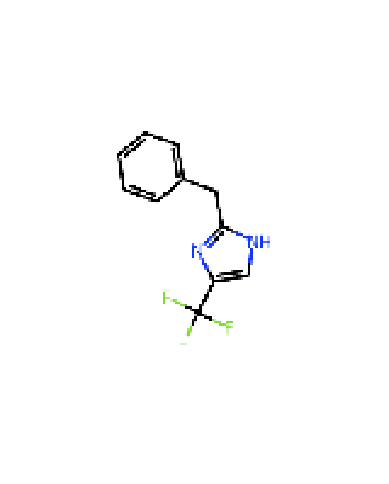 FC(F)(F)c1c[nH]c(Cc2ccccc2)n1